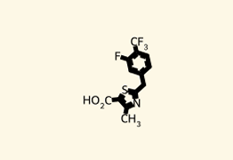 Cc1nc(Cc2ccc(C(F)(F)F)c(F)c2)sc1C(=O)O